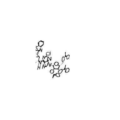 CC(=O)OC[C@H]1O[C@@H](n2cnc3c(N[C@H](C)CSc4nc5ccccc5s4)nc(Cl)nc32)[C@H](OC(C)=O)[C@@H]1OC(C)=O